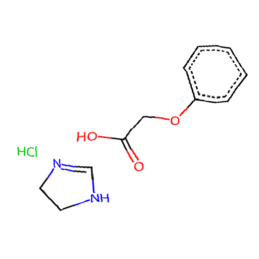 C1=NCCN1.Cl.O=C(O)COc1ccccc1